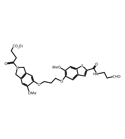 CCOC(=O)CCC(=O)N1Cc2cc(OC)c(OCCCOc3cc4cc(C(=O)NCCC=O)sc4cc3OC)cc2C1